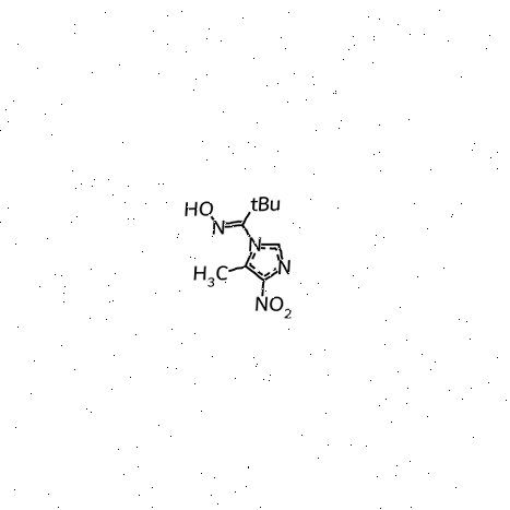 Cc1c([N+](=O)[O-])ncn1C(=NO)C(C)(C)C